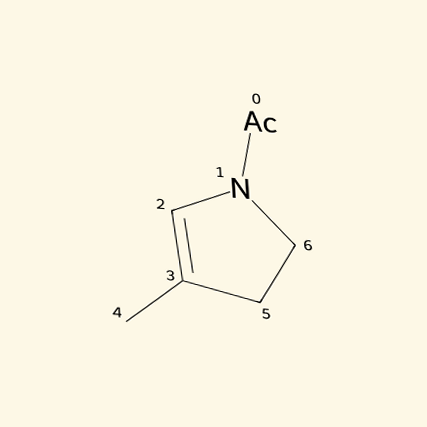 CC(=O)N1C=C(C)CC1